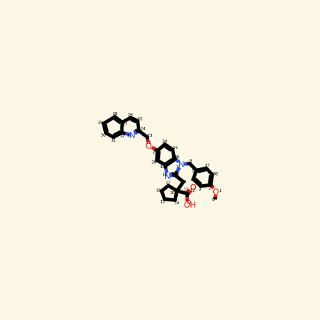 COc1ccc(Cn2c(CC3(C(=O)O)CCCC3)nc3cc(OCc4ccc5ccccc5n4)ccc32)cc1